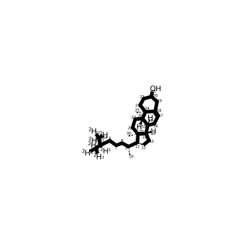 [2H]C([2H])([2H])C([2H])(CCC[C@@H](C)[C@H]1CC[C@H]2[C@@H]3CC=C4CC(O)CC[C@]4(C)[C@H]3CC[C@]12C)C([2H])([2H])[2H]